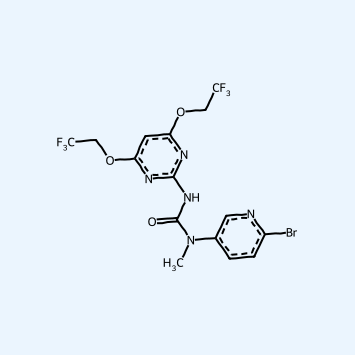 CN(C(=O)Nc1nc(OCC(F)(F)F)cc(OCC(F)(F)F)n1)c1ccc(Br)nc1